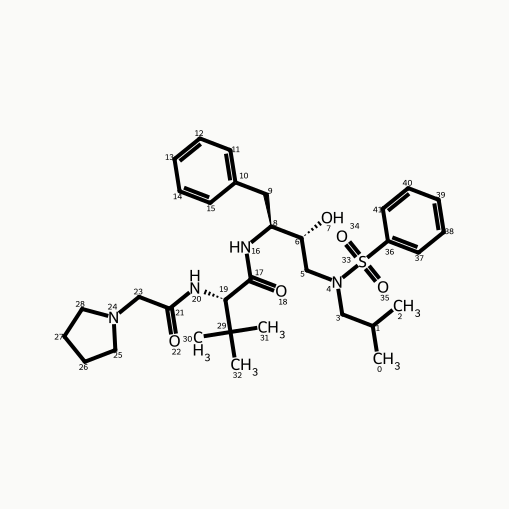 CC(C)CN(C[C@@H](O)[C@H](Cc1ccccc1)NC(=O)[C@@H](NC(=O)CN1CCCC1)C(C)(C)C)S(=O)(=O)c1ccccc1